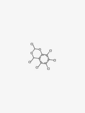 Clc1c(Cl)c(Cl)c2c(c1Cl)OC(Cl)OC2Cl